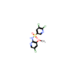 COc1cc(Cl)cnc1NS(=O)(=O)c1cnc(Cl)c(Cl)c1